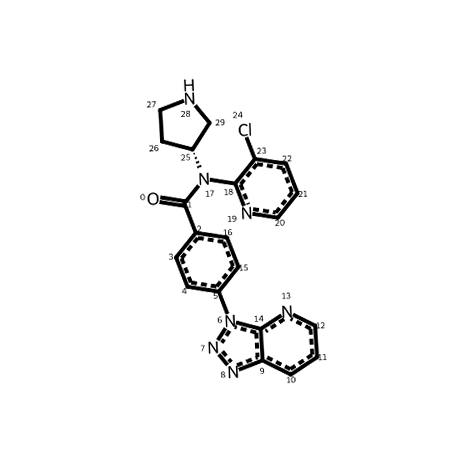 O=C(c1ccc(-n2nnc3cccnc32)cc1)N(c1ncccc1Cl)[C@@H]1CCNC1